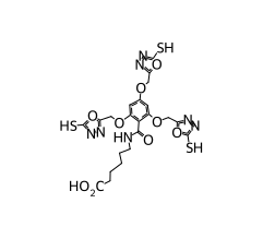 O=C(O)CCCCCNC(=O)c1c(OCc2nnc(S)o2)cc(OCc2nnc(S)o2)cc1OCc1nnc(S)o1